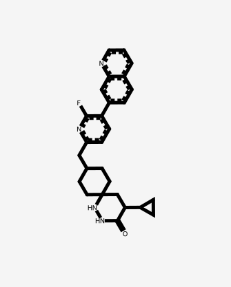 O=C1NNC2(CCC(Cc3ccc(-c4ccc5cccnc5c4)c(F)n3)CC2)CC1C1CC1